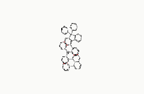 C1=CC2=CC=CC(c3ccccc3N(c3ccccc3)c3ccccc3-c3cccc4c3-c3ccccc3C4(c3ccccc3)c3ccccc3)C2C(c2ccccc2)=C1